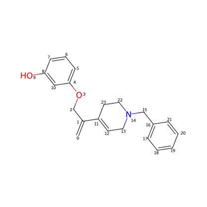 C=C(COc1cccc(O)c1)C1=CCN(Cc2ccccc2)CC1